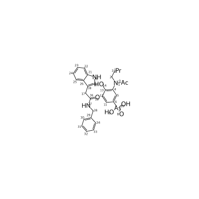 CC(=O)N(CC(C)C)c1cc([As](=O)(O)O)ccc1O.O=C(Cc1c[nH]c2ccccc12)NCc1ccccc1